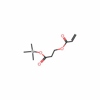 C=CC(=O)OCCC(=O)O[Si](C)(C)C